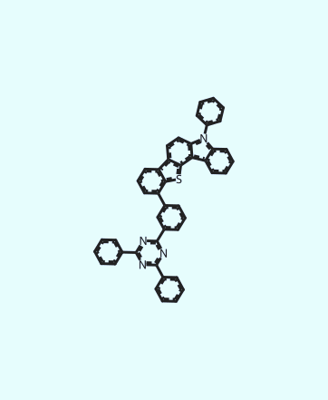 c1ccc(-c2nc(-c3ccccc3)nc(-c3cccc(-c4cccc5c4sc4c5ccc5c4c4ccccc4n5-c4ccccc4)c3)n2)cc1